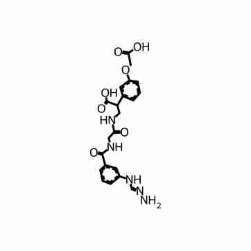 NN=CNc1cccc(C(=O)NCC(=O)NCC(C(=O)O)c2cccc(OCC(=O)O)c2)c1